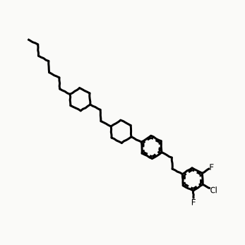 CCCCCCCC1CCC(CCC2CCC(c3ccc(CCc4cc(F)c(Cl)c(F)c4)cc3)CC2)CC1